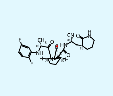 C[C@@H](Nc1cc(F)ccc1F)C(=O)N1[C@H]2CC[C@@H]([C@@H]1C(=O)N[C@@H](C#N)C[C@@H]1CCCNC1=O)C(F)(F)C2